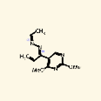 C=C/C(=N\N=C/C)c1cnc(OC)nc1OC